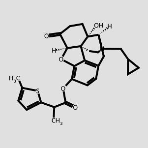 Cc1ccc(C(C)C(=O)Oc2ccc3c4c2O[C@H]2C(=O)CC[C@@]5(O)[C@@H](C3)N(CC3CC3)CC[C@]425)s1